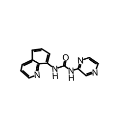 O=C(Nc1cnccn1)Nc1cccc2cccnc12